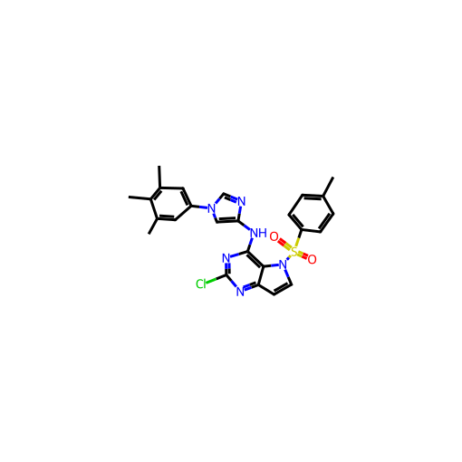 Cc1ccc(S(=O)(=O)n2ccc3nc(Cl)nc(Nc4cn(-c5cc(C)c(C)c(C)c5)cn4)c32)cc1